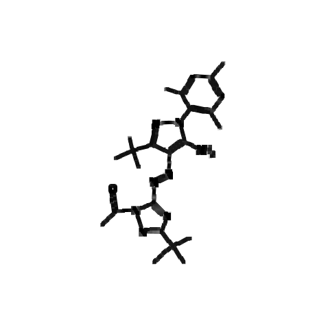 CC(=O)n1nc(C(C)(C)C)nc1/N=N/c1c(C(C)(C)C)nn(-c2c(C)cc(C)cc2C)c1N